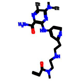 C=CC(=O)N(C)CCNCCc1cc(Nc2nc(N(C)CC)c(CC)nc2C(N)=O)ccn1